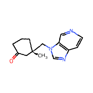 C[C@]1(Cn2cnc3ccncc32)CCCC(=O)C1